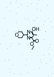 CCOC(=O)c1nc(C2CCOCC2)nc(O)c1C